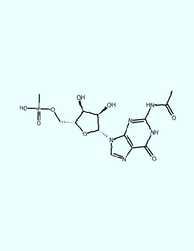 CC(=O)Nc1nc2c(ncn2[C@@H]2O[C@H](COP(C)(=O)O)[C@@H](O)[C@H]2O)c(=O)[nH]1